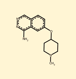 CN1CCC(Oc2ccc3cnnc(N)c3c2)CC1